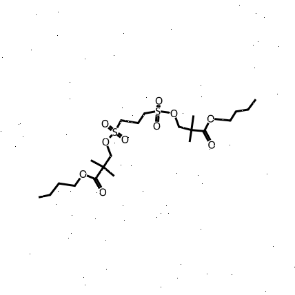 CCCCOC(=O)C(C)(C)COS(=O)(=O)CCCS(=O)(=O)OCC(C)(C)C(=O)OCCCC